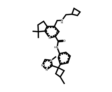 CC1CC(c2cccc(NC(=O)c3cc(CNCC4CCC4)c4c(n3)C(C)(C)CC4)c2)(c2nncn2C)C1